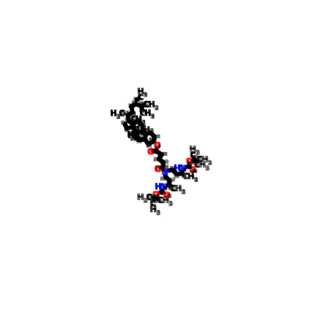 CC[C@H](CC[C@@H](C)[C@H]1CC[C@H]2[C@@H]3CC=C4C[C@@H](OC(=O)CCCC(=O)N(CCC(C)NC(=O)OC(C)(C)C)CCC(C)NC(=O)OC(C)(C)C)CC[C@]4(C)[C@H]3CC[C@]12C)C(C)C